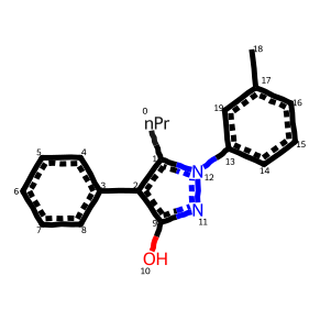 CCCc1c(-c2ccccc2)c(O)nn1-c1cccc(C)c1